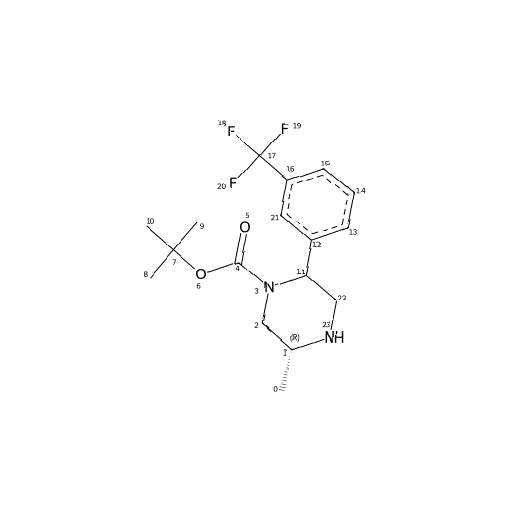 C[C@@H]1CN(C(=O)OC(C)(C)C)C(c2cccc(C(F)(F)F)c2)CN1